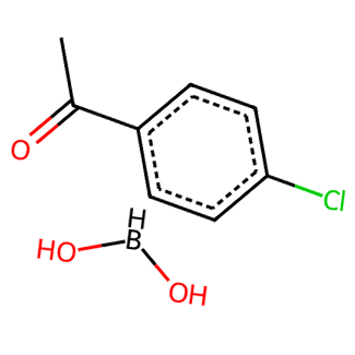 CC(=O)c1ccc(Cl)cc1.OBO